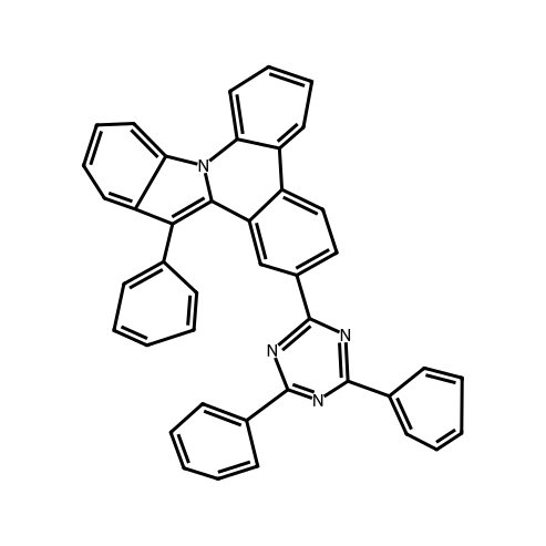 c1ccc(-c2nc(-c3ccccc3)nc(-c3ccc4c5ccccc5n5c6ccccc6c(-c6ccccc6)c5c4c3)n2)cc1